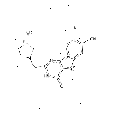 O=c1[nH]c(CN2CC[C@H](O)C2)nc2c1oc1cc(O)c(Br)cc12